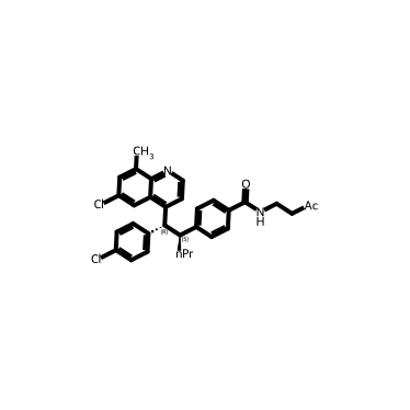 CCC[C@H](c1ccc(C(=O)NCCC(C)=O)cc1)[C@H](c1ccc(Cl)cc1)c1ccnc2c(C)cc(Cl)cc12